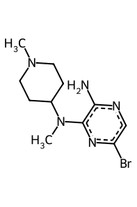 CN1CCC(N(C)c2nc(Br)cnc2N)CC1